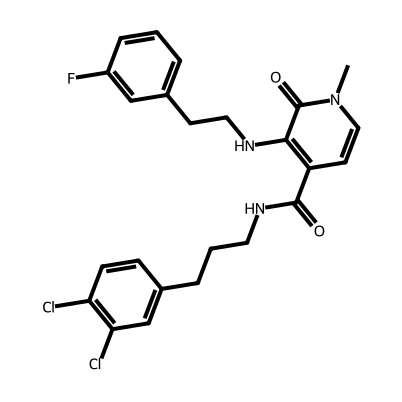 Cn1ccc(C(=O)NCCCc2ccc(Cl)c(Cl)c2)c(NCCc2cccc(F)c2)c1=O